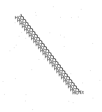 CCC(O)CC(O)CC(O)CC(O)CC(O)CC(O)CC(O)CC(O)CC(O)CC(O)CC(O)CC(O)CC(O)CC(O)CC(O)CC(O)CC(O)CC(O)CC(O)CC(O)CC(O)CC(O)CC(O)CC(O)CC(O)CC(C)O